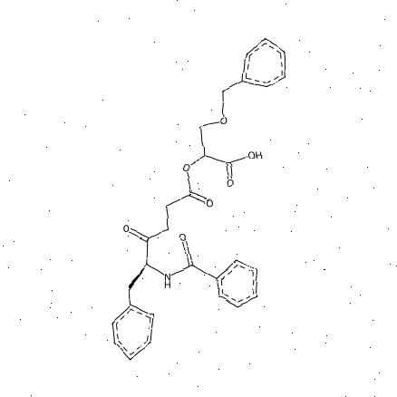 O=C(CCC(=O)[C@H](Cc1ccccc1)NC(=O)c1ccccc1)OC(COCc1ccccc1)C(=O)O